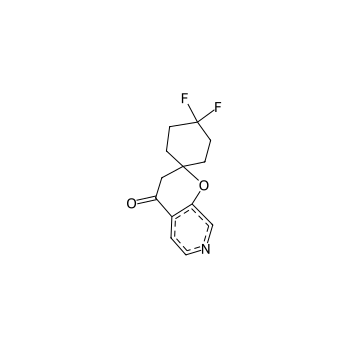 O=C1CC2(CCC(F)(F)CC2)Oc2cnccc21